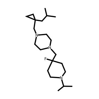 CC(C)CC1(CN2CCN(CC3(F)CCN(C(C)C)CC3)CC2)CC1